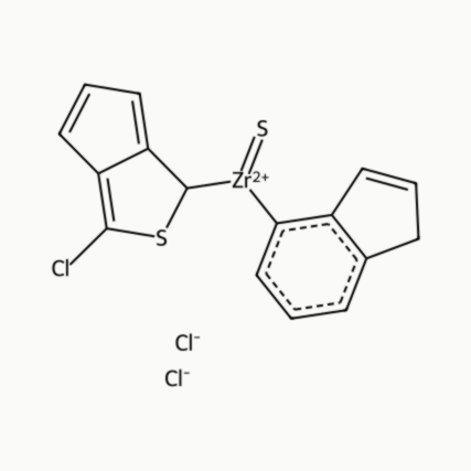 [Cl-].[Cl-].[S]=[Zr+2]([c]1cccc2c1C=CC2)[CH]1SC(Cl)=C2C=CC=C21